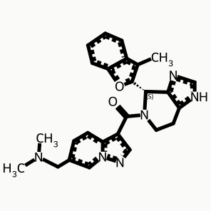 Cc1c([C@@H]2c3nc[nH]c3CCN2C(=O)c2cnn3cc(CN(C)C)ccc23)oc2ccccc12